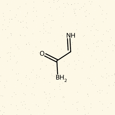 BC(=O)C=N